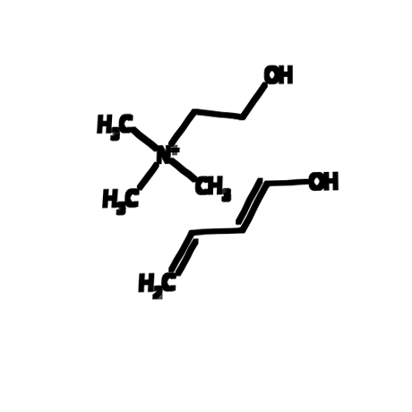 C=CC=CO.C[N+](C)(C)CCO